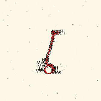 CO[C@H]1C[C@@H]2CC[C@@H](C)[C@@](O)(O2)C(=O)C(=O)N2CCCC[C@H]2C(=O)O[C@H]([C@H](C)C[C@@H]2CC[C@@H](OC(=O)NCCOCCOCCOCCOCCOCCOCCOCCOCCC(=O)N3CCc4cc(Cn5nc(-c6ccc7oc(N)nc7c6)c6c(N)ncnc65)ccc4C3)[C@H](OC)C2)C[C@@H](OC)[C@H](C)/C=C(\C)[C@@H](O)[C@@H](OC)C(=O)[C@H](C)C[C@H](C)/C=C/C=C/C=C/1C